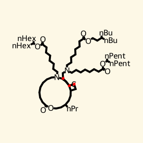 CCCCCCC(CCCCCC)OC(=O)CCCCCCCN1CCCCCCCC(=O)OCCC(CCC)CCC2CC3CC(CCN(CCCCCCCC(=O)OCCC(CCCC)CCCC)CCCCCCCC(=O)OC(CCCCC)CCCCC)C23CC1